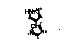 c1cn[nH]c1.c1ncon1